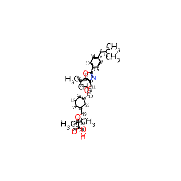 CC(C)Cc1ccc(-c2nc(COC[C@H]3CCCC(COC(C)(C)C(=O)O)C3)c(C(C)C)o2)cc1